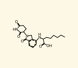 CCCCCCC(Nc1cccc2c1CN(C1CCC(=O)NC1=O)C2=O)C(=O)O